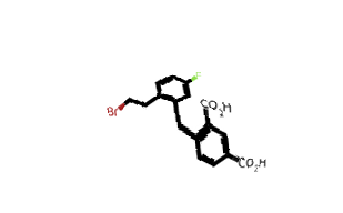 O=C(O)c1ccc(Cc2cc(F)ccc2CCBr)c(C(=O)O)c1